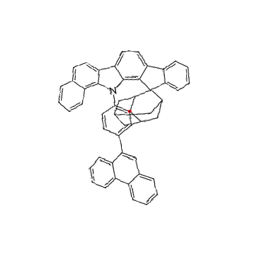 c1ccc2c(c1)-c1ccc3c4ccc5ccccc5c4n(-c4ccc(-c5cc6ccccc6c6ccccc56)cc4)c3c1C21C2CC3CC(C2)CC1C3